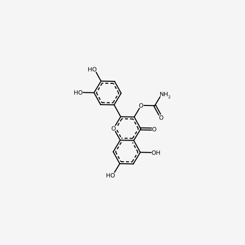 NC(=O)Oc1c(-c2ccc(O)c(O)c2)oc2cc(O)cc(O)c2c1=O